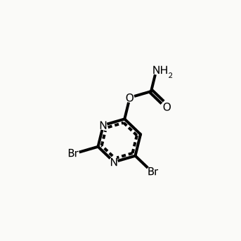 NC(=O)Oc1cc(Br)nc(Br)n1